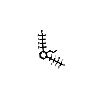 [CH2]CCc1c(C(F)(F)C(F)(F)C(F)(F)C(F)(F)F)cccc1C(F)(F)C(F)(F)C(F)(F)C(F)(F)F